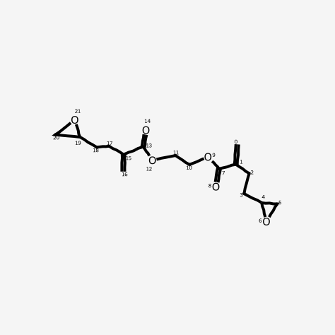 C=C(CCC1CO1)C(=O)OCCOC(=O)C(=C)CCC1CO1